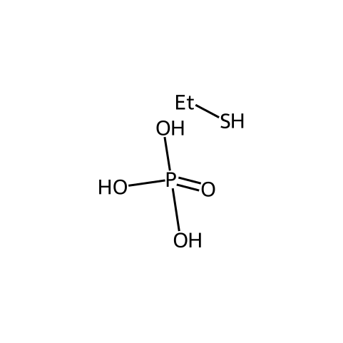 CCS.O=P(O)(O)O